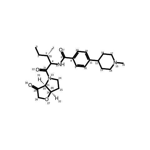 CC[C@H](C)C(NC(=O)c1ccc(C2CCN(C)CC2)cc1)C(=O)N1CC[C@H]2OCC(=O)[C@H]21